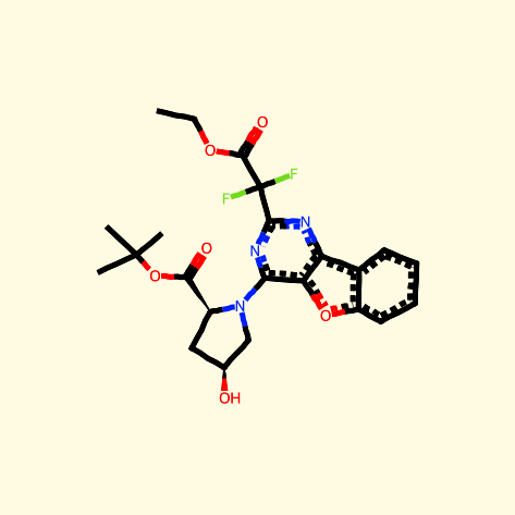 CCOC(=O)C(F)(F)c1nc(N2C[C@@H](O)C[C@H]2C(=O)OC(C)(C)C)c2oc3ccccc3c2n1